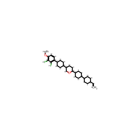 C=CC1CCC(C2CCC(C3CCC(C4CCC(c5ccc(OCCC)c(F)c5F)CC4)CO3)CC2)CC1